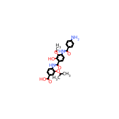 COc1c(NC(=O)c2ccc(N)cc2)ccc(C(=O)Nc2ccc(C(=O)O)cc2OC(C)C)c1O